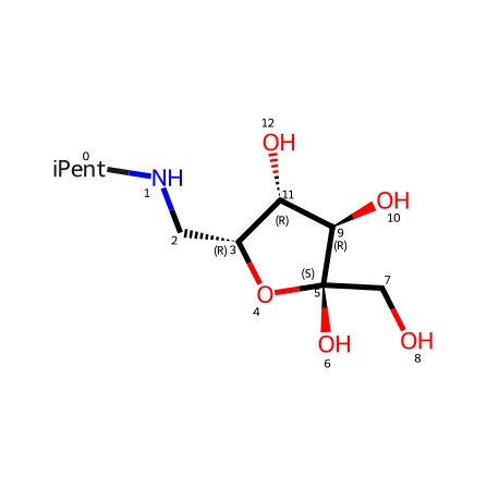 CCCC(C)NC[C@H]1O[C@@](O)(CO)[C@H](O)[C@H]1O